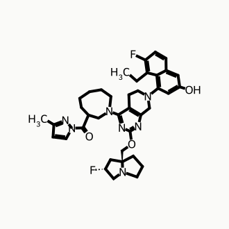 CCc1c(F)ccc2cc(O)cc(N3CCc4c(nc(OC[C@@]56CCCN5C[C@H](F)C6)nc4N4CCCCCC(C(=O)n5ccc(C)n5)C4)C3)c12